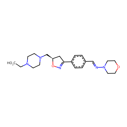 O=C(O)CN1CCN(C[C@H]2CC(c3ccc(C=NN4CCOCC4)cc3)=NO2)CC1